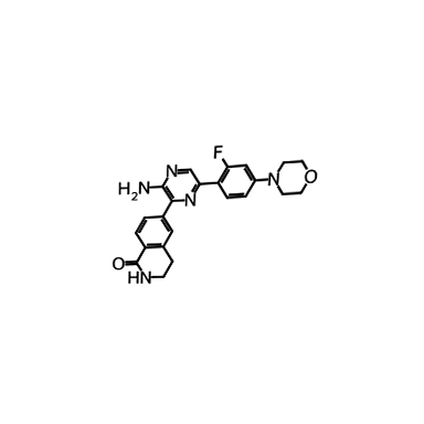 Nc1ncc(-c2ccc(N3CCOCC3)cc2F)nc1-c1ccc2c(c1)CCNC2=O